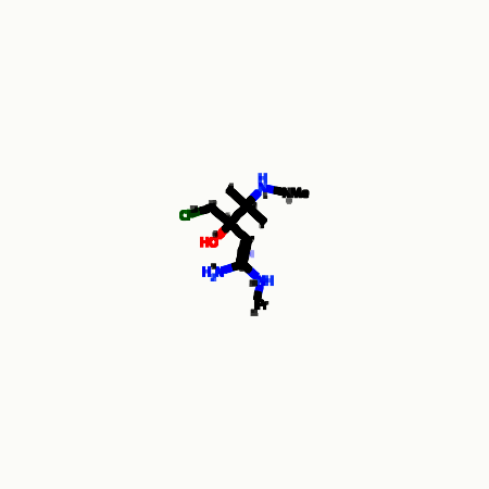 CNNC(C)(C)C(O)(/C=C(\N)NC(C)C)CCl